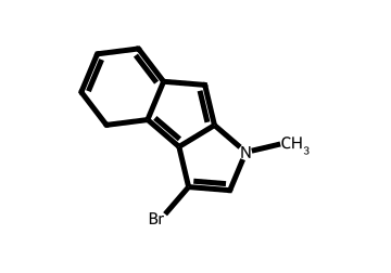 Cn1cc(Br)c2c1=CC1=CC=CCC=21